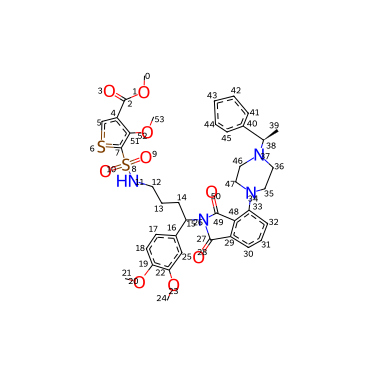 COC(=O)c1csc(S(=O)(=O)NCCCC(c2ccc(OC)c(OC)c2)N2C(=O)c3cccc(N4CCN([C@H](C)c5ccccc5)CC4)c3C2=O)c1OC